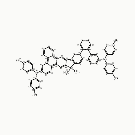 CC(C)c1ccc(N(c2ccc(C(C)C)cc2)c2ccc3c(c2)c2ccccc2c2cc4c(cc32)C(C)(C)c2cc3c5ccc(N(c6ccc(C(C)C)cc6)c6ccc(C(C)C)cc6)cc5c5ccccc5c3cc2-4)cc1